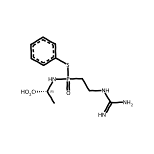 C[C@@H](NP(=O)(CCNC(=N)N)Sc1ccccc1)C(=O)O